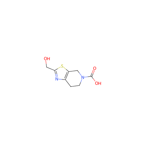 O=C(O)N1CCc2nc(CO)sc2C1